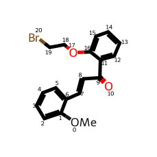 COc1ccccc1C=CC(=O)c1ccccc1OCCBr